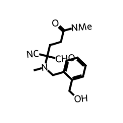 CNC(=O)CCC(C#N)(C=O)N(C)Cc1ccccc1CO